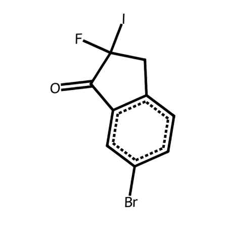 O=C1c2cc(Br)ccc2CC1(F)I